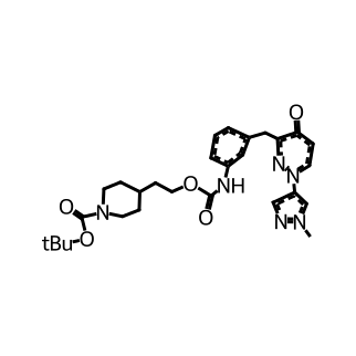 Cn1cc(-n2ccc(=O)c(Cc3cccc(NC(=O)OCCC4CCN(C(=O)OC(C)(C)C)CC4)c3)n2)cn1